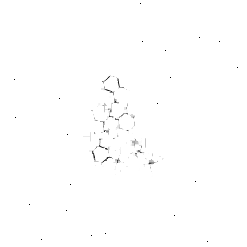 Cc1ccccc1C(=O)N1CCCC(C(=O)Nc2cccc(C(C)(C)C)c2)C1C1CCC[C@H](CNC(=O)OC(C)(C)C)C1